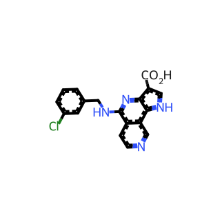 O=C(O)c1c[nH]c2c1nc(NCc1cccc(Cl)c1)c1ccncc12